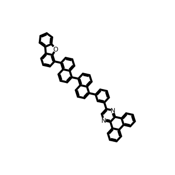 c1cc(-c2cnc3c4ccccc4c4ccccc4c3n2)cc(-c2cccc3c(-c4cccc5c(-c6cccc7c6oc6ccccc67)cccc45)cccc23)c1